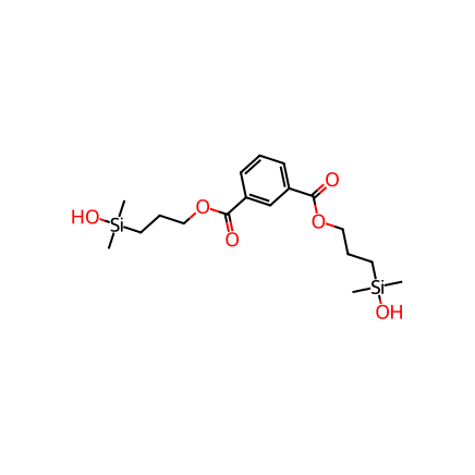 C[Si](C)(O)CCCOC(=O)c1cccc(C(=O)OCCC[Si](C)(C)O)c1